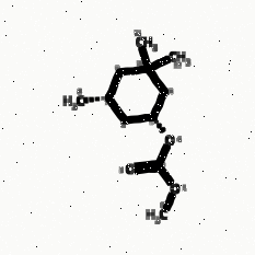 COC(=O)O[C@@H]1C[C@H](C)CC(C)(C)C1